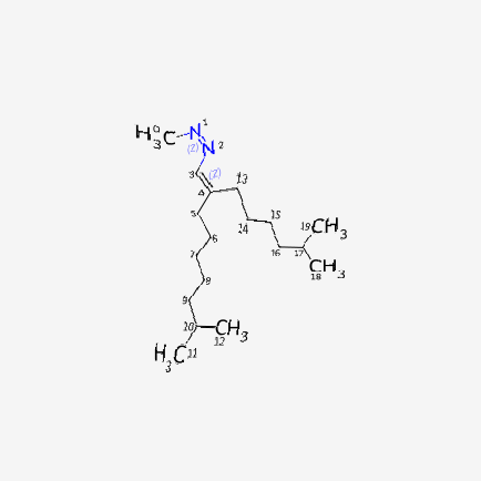 C/N=N\C=C(\CCCCCC(C)C)CCCCC(C)C